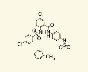 Cc1ccccc1.O=C(Nc1ccc(N=S(=O)=O)cc1)c1cc(Cl)ccc1NS(=O)(=O)c1ccc(Cl)cc1